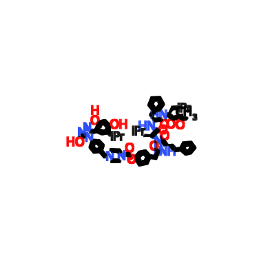 CC(C)C[C@H](NC(=O)[C@H](CCc1ccccc1)NC(=O)Cc1ccc(OC(=O)N2CCN(Cc3ccc(-n4c(O)nnc4-c4cc(C(C)C)c(O)cc4O)cc3)CC2)cc1)C(=O)N[C@@H](Cc1ccccc1)C(=O)N[C@@H](CC(C)C)C(=O)[C@@]1(C)CO1